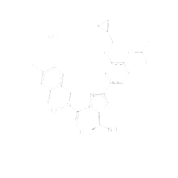 C[C@H](N)c1oc(-c2ccc(OC(F)F)c(OCC3CC3)c2)nc1C(=O)N(C)Cc1ccc(F)cc1F.Cl